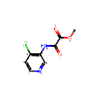 COC(=O)C(=O)Nc1cnccc1Cl